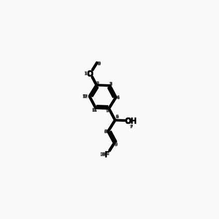 COc1ccc(C(O)C=CF)cc1